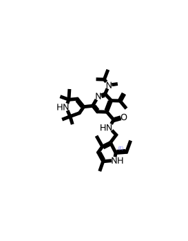 C=C(C)c1c(C(=O)NCC2=C(C)C=C(C)N/C2=C/C)cc(C2=CC(C)(C)NC(C)(C)C2)nc1N(C)C(C)C